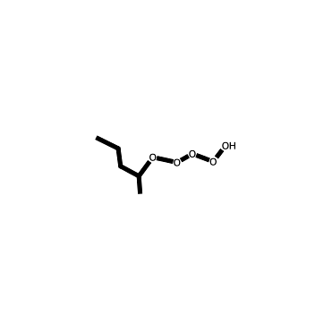 CCCC(C)OOOOO